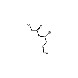 CCCCOCC(CC)OC(=O)CC(C)=O